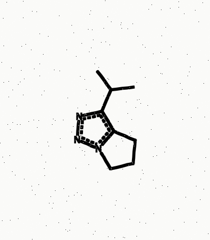 CC(C)c1nnn2c1CCC2